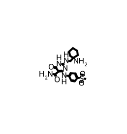 CS(=O)(=O)c1ccc(Nc2nc(NCC3(N)CCCCC3)[nH]c(=O)c2C(N)=O)cc1